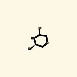 CC[C@H]1COC[C@H](CC)N1